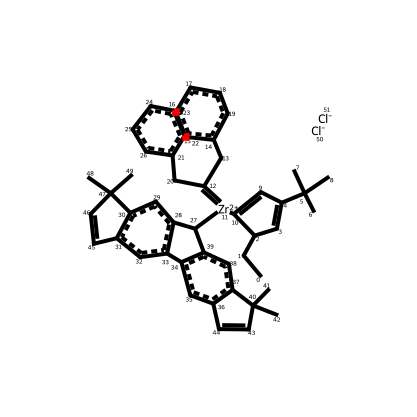 CCC1C=C(C(C)(C)C)C=[C]1[Zr+2](=[C](Cc1ccccc1)Cc1ccccc1)[CH]1c2cc3c(cc2-c2cc4c(cc21)C(C)(C)C=C4)C=CC3(C)C.[Cl-].[Cl-]